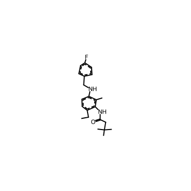 CCc1ccc(NCc2ccc(F)cc2)c(C)c1NC(=O)CC(C)(C)C